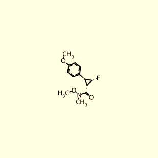 COc1ccc([C@H]2[C@H](F)[C@@H]2C(=O)N(C)OC)cc1